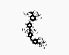 C=C(C)c1ccc(Cc2ccc(C(C)(C)c3ccc(Sc4ccc(C)c(/C(C)=C\C)c4)cc3)cc2)cc1C